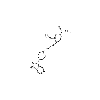 COc1cc(C(C)=O)ccc1OCCCN1CCC(c2n[nH]c3ccccc23)CC1